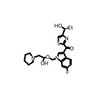 CC[C@H](O)c1csc(C(=O)c2cn(COC(O)CN3CCCCC3)c3cc(F)ccc23)n1